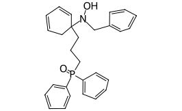 O=P(CCCC1(N(O)Cc2ccccc2)C=CC=CC1)(c1ccccc1)c1ccccc1